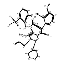 CCCN(C(=O)O)C(Cn1c(=O)c(-c2cccc(OC)c2F)c(C)n(Cc2c(F)cccc2C(F)(F)F)c1=O)C1CCCCC1